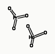 [O]=[Ho](=[O])=[O].[O]=[Pr](=[O])=[O]